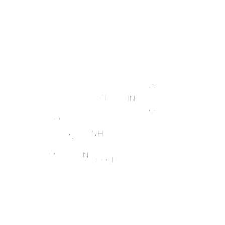 C[C@@]1(c2cccc(NC(=O)OCc3ccccc3)c2Cl)CC(=O)N(C2CC3CCC(C2)O3)/C(=N/C(=O)O)N1